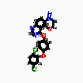 Clc1ccc(Cl)c(Oc2ccc(Oc3ncnc4ccc5c(c34)OCCN5)cc2)c1